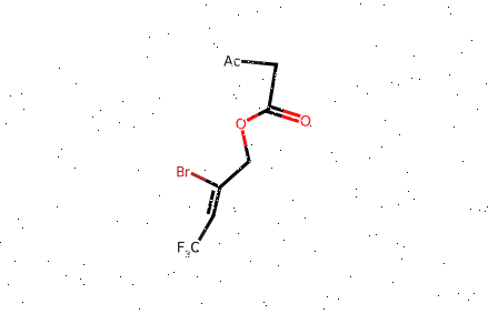 CC(=O)CC(=O)OCC(Br)=CC(F)(F)F